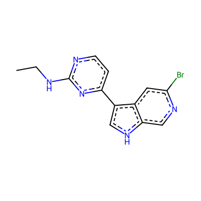 CCNc1nccc(-c2c[nH]c3cnc(Br)cc23)n1